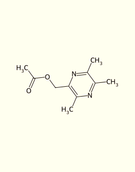 CC(=O)OCc1nc(C)c(C)nc1C